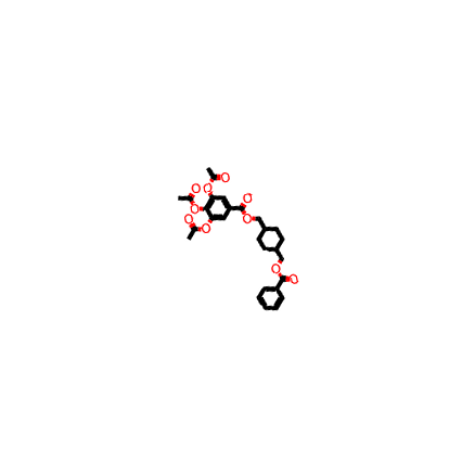 CC(=O)Oc1cc(C(=O)OCC2CCC(COC(=O)c3ccccc3)CC2)cc(OC(C)=O)c1OC(C)=O